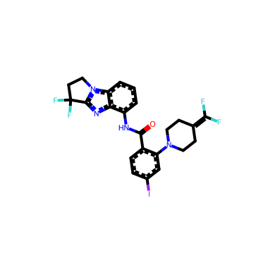 O=C(Nc1cccc2c1nc1n2CCC1(F)F)c1ccc(I)cc1N1CCC(=C(F)F)CC1